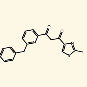 Cc1nc(C(=O)CC(=O)c2cccc(Cc3ccccc3)c2)cs1